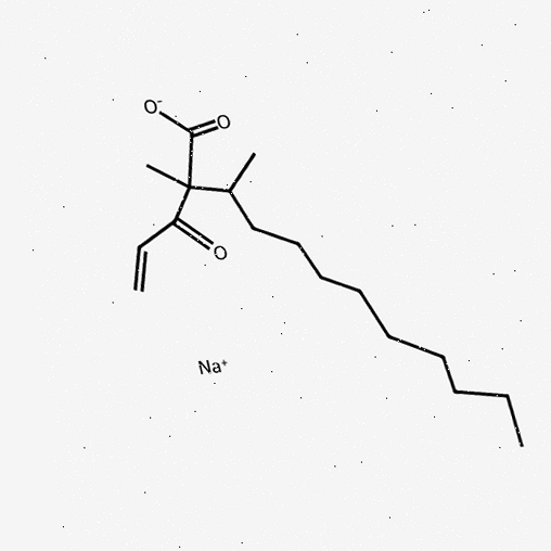 C=CC(=O)C(C)(C(=O)[O-])C(C)CCCCCCCCC.[Na+]